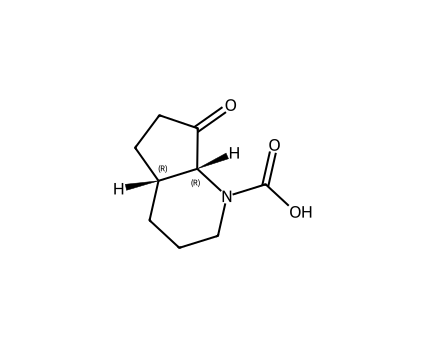 O=C1CC[C@H]2CCCN(C(=O)O)[C@@H]12